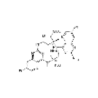 CCCC[C@](C)(CNC(C)=O)Nc1nc(NC(CC)C[C@](C)(CNC(C)=O)Nc2nc(N)nc3cc(C(C)C)cnc23)nc2cc(CC)cnc12